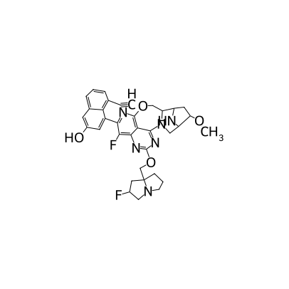 C#Cc1cccc2cc(O)cc(-c3nc4c5c(nc(OCC67CCCN6CC(F)C7)nc5c3F)N3CC5NC(CC5OC)C3CO4)c12